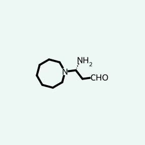 N[C@H](CC=O)N1CCCCCCC1